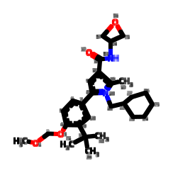 COCOc1ccc(-c2cc(C(=O)NC3COC3)c(C)n2CC2CCCCC2)cc1C(C)(C)C